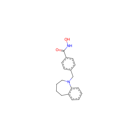 O=C(NO)c1ccc(CN2CCCCc3ccccc32)cc1